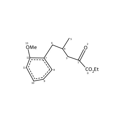 CCOC(=O)C(=O)CC(C)Cc1ccccc1OC